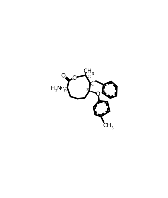 Cc1ccc(O[C@H]2CCC[C@H](N)C(=O)O[C@@H](C)[C@@H]2Cc2ccccc2)cc1